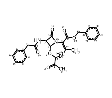 CC(=O)C(Br)O[C@H]1C(NC(=O)Cc2ccccc2)C(=O)N1C(C(=O)OCc1ccccc1)=C(C)C